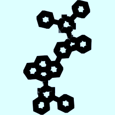 c1ccc(-c2nc(-c3ccccc3)nc(-n3c4ccccc4c4cc(-c5ccc6c7c5ccc5cccc(c57)n6-c5nc(-c6ccccc6)c6ccccc6n5)ccc43)n2)cc1